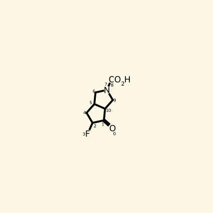 O=C1C(F)CC2CN(C(=O)O)CC12